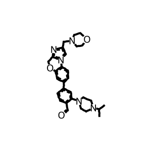 CC(C)N1CCN(c2cc(-c3ccc4c(c3)OCc3nc(CN5CCOCC5)cn3-4)ccc2C=O)CC1